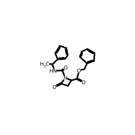 CC(NC(=O)N1C(=O)CC1C(=O)OCc1ccccc1)c1ccccc1